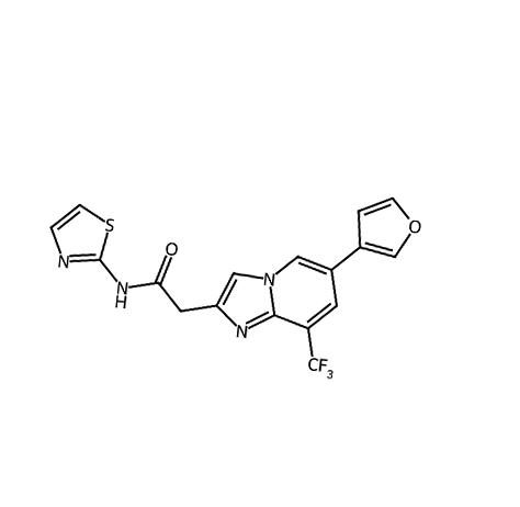 O=C(Cc1cn2cc(-c3ccoc3)cc(C(F)(F)F)c2n1)Nc1nccs1